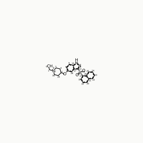 CCN1CCC(Oc2ccc3[nH]nc(S(=O)(=O)c4cccc5ccccc45)c3c2)CC1